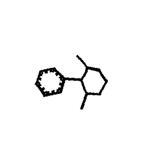 CC1CCCC(C)C1c1ccccc1